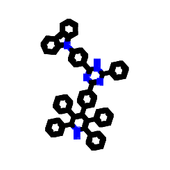 c1ccc(C2=C(c3ccccc3)C(c3ccc(C4=NC(c5ccccc5)NC(c5ccc(-n6c7ccccc7c7ccccc76)cc5)=N4)cc3)=C(c3ccccc3)C(c3ccccc3)N2)cc1